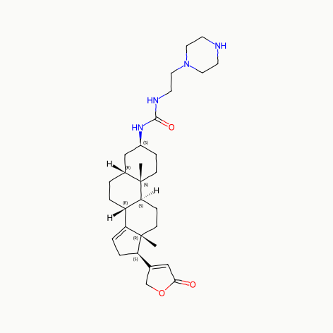 C[C@]12CC[C@H](NC(=O)NCCN3CCNCC3)C[C@H]1CC[C@H]1C3=CC[C@H](C4=CC(=O)OC4)[C@@]3(C)CC[C@@H]12